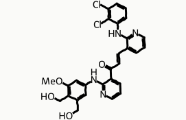 COc1cc(Nc2ncccc2C(=O)/C=C/c2cccnc2Nc2cccc(Cl)c2Cl)cc(CO)c1CO